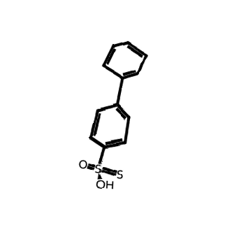 O=[S@@](O)(=S)c1ccc(-c2ccccc2)cc1